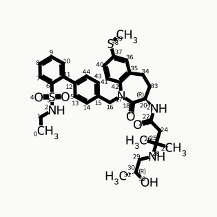 CCNS(=O)(=O)c1ccccc1-c1ccc(CN2C(=O)[C@H](NC(=O)CC(C)(C)NC[C@@H](C)O)CCc3cc(SC)ccc32)cc1